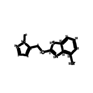 Cn1nccc1COc1nc2c(Br)cccc2s1